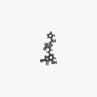 O=C(O)N(CCNC1CCCC1)CCc1ccc(O)c2[nH]c(=O)sc12